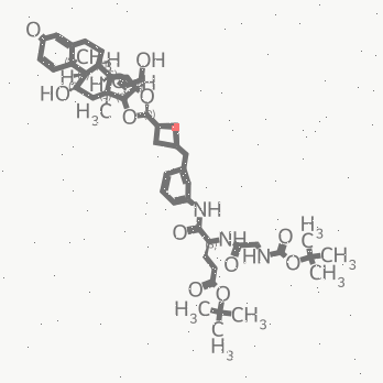 CC(C)(C)OC(=O)CC[C@H](NC(=O)CNC(=O)OC(C)(C)C)C(=O)Nc1cccc(CC23CC([C@@H]4O[C@@H]5C[C@H]6[C@@H]7CCC8=CC(=O)C=C[C@]8(C)[C@H]7[C@@H](O)C[C@]6(C)[C@]5(C(=O)CO)O4)(C2)C3)c1